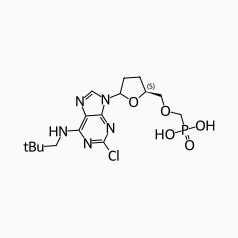 CC(C)(C)CNc1nc(Cl)nc2c1ncn2C1CC[C@@H](COCP(=O)(O)O)O1